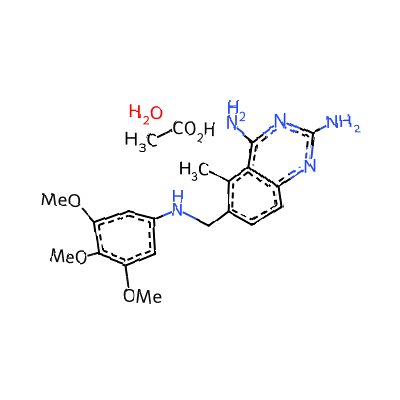 CC(=O)O.COc1cc(NCc2ccc3nc(N)nc(N)c3c2C)cc(OC)c1OC.O